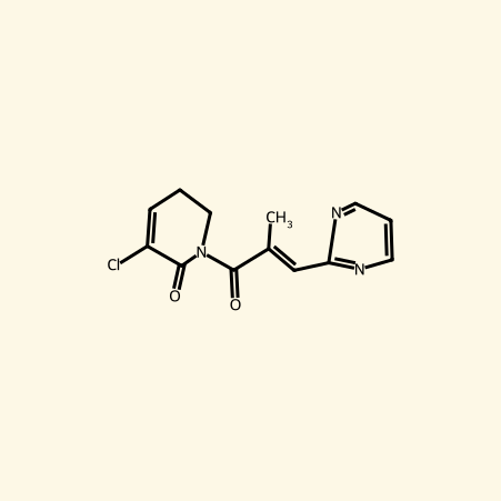 C/C(=C\c1ncccn1)C(=O)N1CCC=C(Cl)C1=O